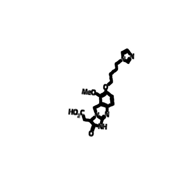 COc1c(OCCCCn2ccnc2)ccc2c1CN1C(=N2)NC(=O)C1CC(=O)O